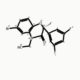 C[C@@]1(c2cc(F)cc(F)c2)Oc2ccc(Br)cc2N(CC#N)C1=O